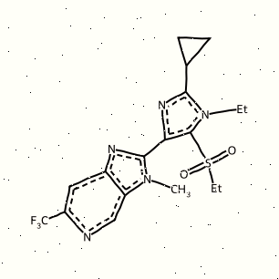 CCn1c(C2CC2)nc(-c2nc3cc(C(F)(F)F)ncc3n2C)c1S(=O)(=O)CC